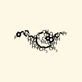 C/C1=C/C=C/C(C)[C@H](O)CC(O)[C@@H](C)[C@H](OC(=O)CC(=O)N2CCCN(Cc3ccc(F)cc3)CC2)CC/C=C/O[C@H]2Oc3c(C)c(O)c4c(c3C2=O)C2=NC3(CCN(CC(C)C)CC3)NC2=C(NC1=O)C4=O